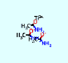 CC(N)[O-].CC(N)[O-].CC(N)[O-].[Ti+3]